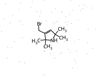 CC1(C)C=C(CBr)C(C)(C)N1